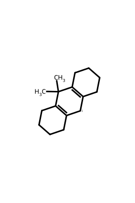 CC1(C)C2=C([C]C3=C1CCCC3)CCCC2